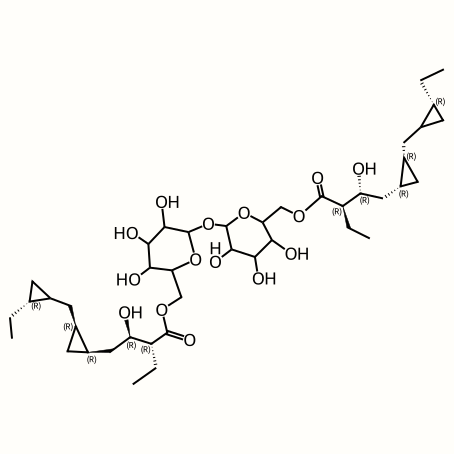 CC[C@@H]1CC1C[C@@H]1C[C@@H]1C[C@@H](O)[C@@H](CC)C(=O)OCC1OC(OC2OC(COC(=O)[C@H](CC)[C@H](O)C[C@H]3C[C@H]3CC3C[C@H]3CC)C(O)C(O)C2O)C(O)C(O)C1O